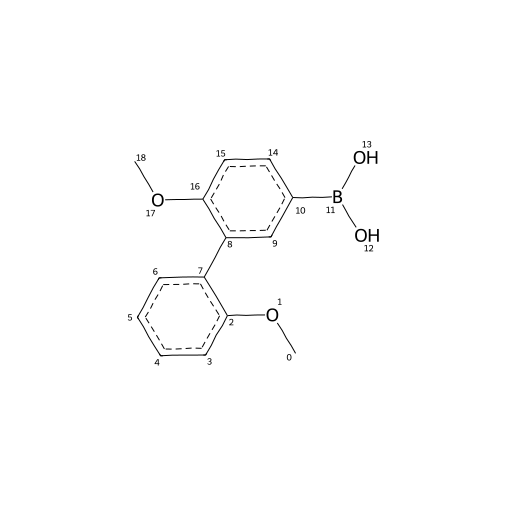 COc1ccccc1-c1cc(B(O)O)ccc1OC